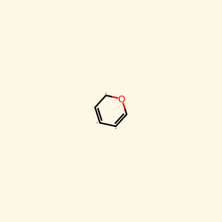 [C]1=C[CH]OC=[C]1